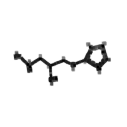 CC(C)NCC(O)COc1nccs1